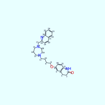 O=C1CCc2cc(OCCCCN3CCCN(Cc4ccc5ccccc5n4)CC3)ccc2N1